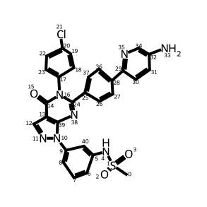 CS(=O)(=O)Nc1cccc(-n2ncc3c(=O)n(-c4ccc(Cl)cc4)c(-c4ccc(-c5ccc(N)cn5)cc4)nc32)c1